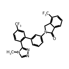 Cn1cnnc1-c1ccc(C(F)(F)F)cc1-c1cccc(N2Cc3c(cccc3C(F)(F)F)C2=O)c1